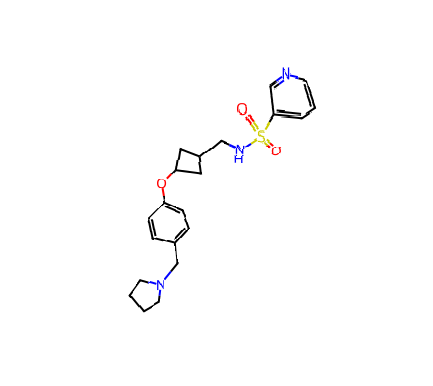 O=S(=O)(NCC1CC(Oc2ccc(CN3CCCC3)cc2)C1)c1cccnc1